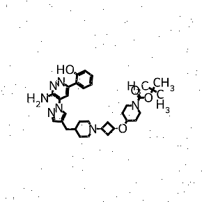 CC(C)(C)OC(=O)N1CCC(O[C@H]2C[C@H](N3CCC(Cc4cnn(-c5cc(-c6ccccc6O)nnc5N)c4)CC3)C2)CC1